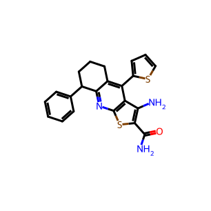 NC(=O)c1sc2nc3c(c(-c4cccs4)c2c1N)CCCC3c1ccccc1